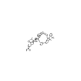 C=CC(=O)N1CC[C@]2(CCN([C@H](C(=O)N[C@H]3Cc4cccc(c4)-c4ccc5c(c4)c(c(-c4cccnc4[C@H](C)OC)n5CC)CC(C)(C)COC(=O)[C@@H]4CCCN(N4)C3=O)C(C)C)C2=O)C1